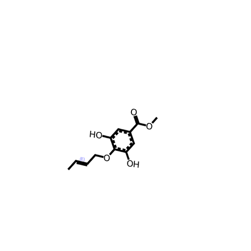 C/C=C/COc1c(O)cc(C(=O)OC)cc1O